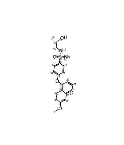 COc1ccc2c(Oc3ccc([S@](=N)(=O)NC[C@H](C)O)cc3)ccnc2c1